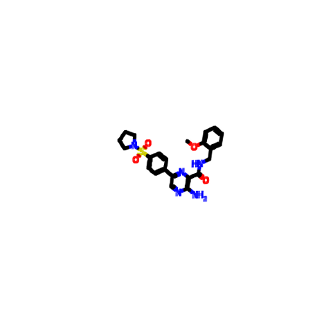 COc1ccccc1CNC(=O)c1nc(-c2ccc(S(=O)(=O)N3CCCC3)cc2)cnc1N